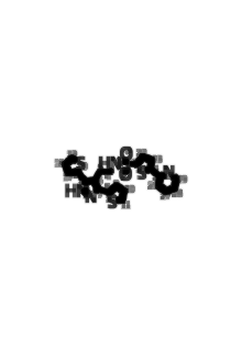 O=S(=O)(NCCc1c(-c2cccs2)n[nH]c1-c1cccs1)c1ccc(-c2ccccn2)s1